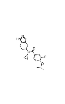 CC(C)Oc1ccc(C(=O)N(C2CC2)C2CCc3[nH]ncc3C2)cc1F